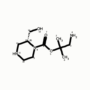 CC(C)(CN)OC(=O)N1CCNC[C@@H]1CO